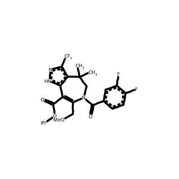 COCC1=C(C(=O)OC(C)C)c2[nH]nc(C(F)(F)F)c2C(C)(C)CN1C(=O)c1ccc(F)c(F)c1